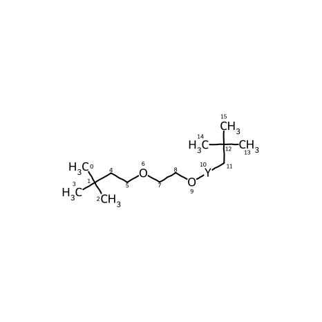 CC(C)(C)CCOCC[O][Y][CH2]C(C)(C)C